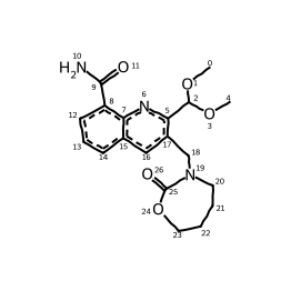 COC(OC)c1nc2c(C(N)=O)cccc2cc1CN1CCCCOC1=O